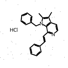 Cc1c(C)n(Cc2ccccc2)c2c(C=Cc3ccccc3)nccc12.Cl